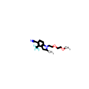 COCCOCCN1c2ccc(C#N)c(C(F)(F)F)c2CC1C